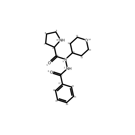 O=C(NN(C(=O)C1CCCN1)C1CCOCC1)c1ccccc1